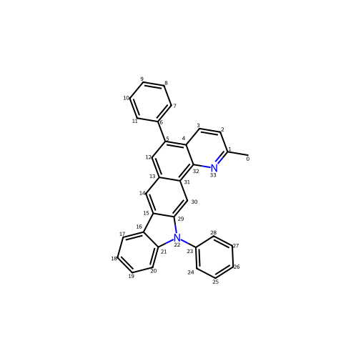 Cc1ccc2c(-c3ccccc3)cc3cc4c5ccccc5n(-c5ccccc5)c4cc3c2n1